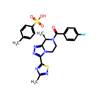 Cc1ccc(S(=O)(=O)O)cc1.Cc1nsc(-c2nnc3n2CCN(C(=O)c2ccc(F)cc2)[C@@H]3C)n1